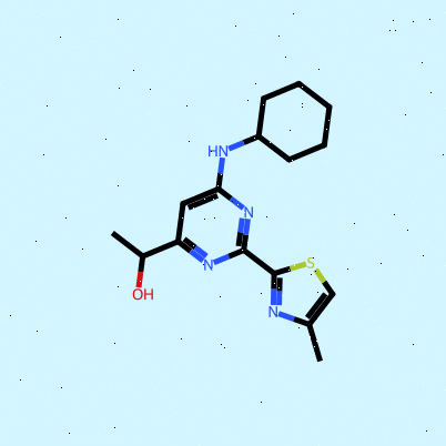 Cc1csc(-c2nc(NC3CCCCC3)cc(C(C)O)n2)n1